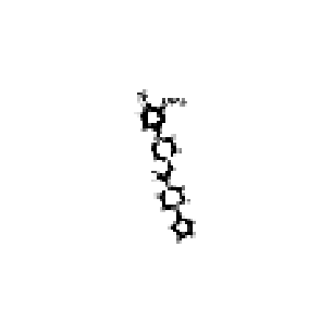 COc1cc(N2CCN(CC(=O)N3CCN(C4CCCC4)CC3)CC2)ccc1Br